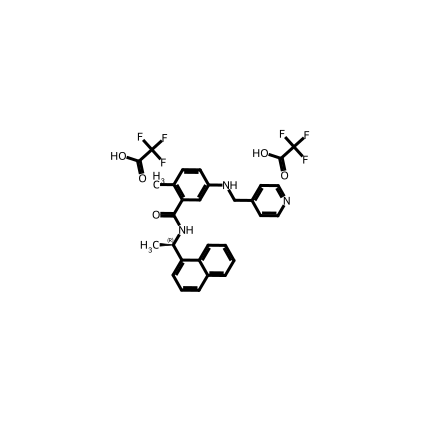 Cc1ccc(NCc2ccncc2)cc1C(=O)N[C@H](C)c1cccc2ccccc12.O=C(O)C(F)(F)F.O=C(O)C(F)(F)F